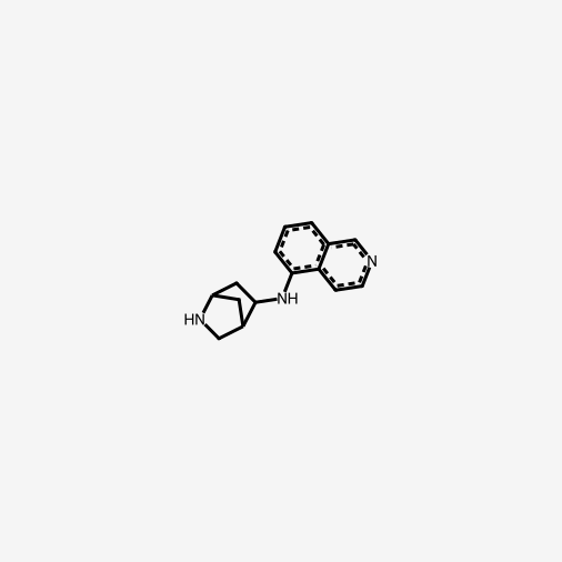 c1cc(NC2CC3CC2CN3)c2ccncc2c1